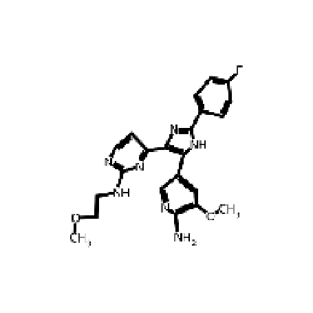 COCCNc1nccc(-c2nc(-c3ccc(F)cc3)[nH]c2-c2cnc(N)c(OC)c2)n1